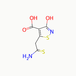 NC(=S)Cc1snc(O)c1C(=O)O